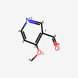 COc1ccncc1[C]=O